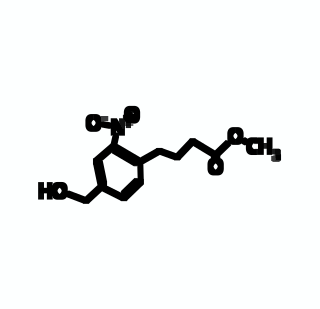 COC(=O)CCCc1ccc(CO)cc1[N+](=O)[O-]